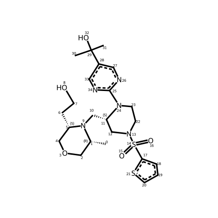 C[C@@H]1COC[C@H](CCO)N1C[C@H]1CN(S(=O)(=O)c2cccs2)CCN1c1ncc(C(C)(C)O)cn1